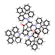 O=C1C2=C(N3c4ccccc4C(c4ccccc4)(c4ccccc4)c4ccccc43)C=C(N3c4ccccc4C(c4ccccc4)(c4ccccc4)c4ccccc43)C3C(=O)c4c(N5C6=C(CCC=C6)C(c6ccccc6)(c6ccccc6)c6ccccc65)cc(N5c6ccccc6C(c6ccccc6)(c6ccccc6)c6ccccc65)c1c4C23